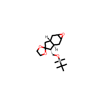 CC(C)(C)[Si](C)(C)OC[C@H]1[C@@H]2CC3OC3C[C@H]2CC12OCCO2